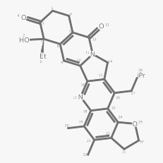 CC[C@@]1(O)C(=O)CCc2c1cc1n(c2=O)Cc2c-1nc1c(C)c(C)c3c(c1c2CC(C)C)OCC3